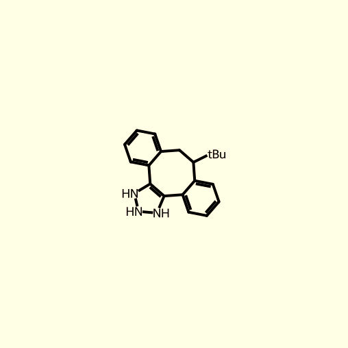 CC(C)(C)C1Cc2ccccc2C2=C(NNN2)c2ccccc21